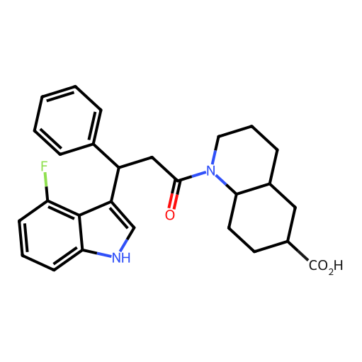 O=C(O)C1CCC2C(CCCN2C(=O)CC(c2ccccc2)c2c[nH]c3cccc(F)c23)C1